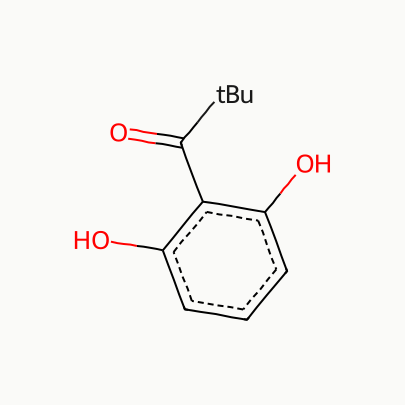 CC(C)(C)C(=O)c1c(O)cccc1O